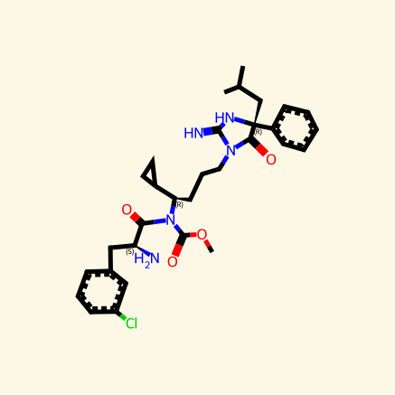 COC(=O)N(C(=O)[C@@H](N)Cc1cccc(Cl)c1)[C@H](CCCN1C(=N)N[C@](CC(C)C)(c2ccccc2)C1=O)C1CC1